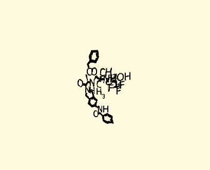 CC(C)(N)C(=O)N[C@H](COCc1ccccc1)C(=O)N1Cc2ccc(NC(=O)c3ccccc3)cc2C1.O=C(O)C(F)(F)F